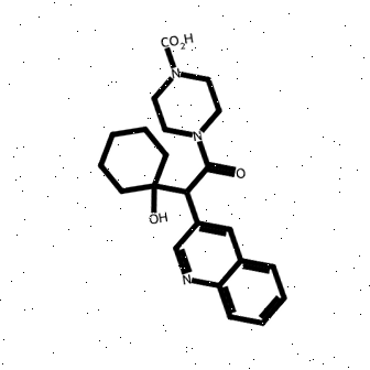 O=C(O)N1CCN(C(=O)C(c2cnc3ccccc3c2)C2(O)CCCCC2)CC1